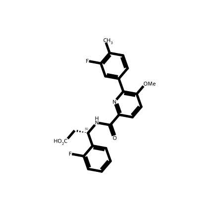 COc1ccc(C(=O)N[C@@H](CC(=O)O)c2ccccc2F)nc1-c1ccc(C)c(F)c1